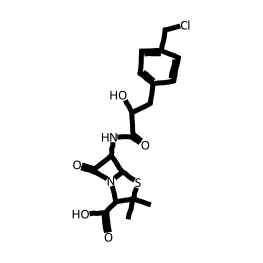 CC1(C)SC2C(NC(=O)C(O)Cc3ccc(CCl)cc3)C(=O)N2C1C(=O)O